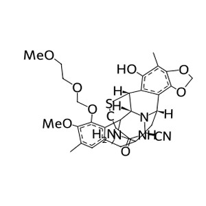 COCCOCOc1c(OC)c(C)cc2c1C1[C@@H]3[C@@H]4SCC(N)C(=O)NC[C@@H](c5c6c(c(C)c(O)c54)OCO6)N3[C@@H](C#N)C(C2)N1C